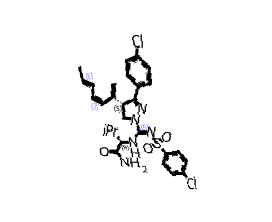 C=C(/C=C\C=C\C)[C@H]1CN(/C(=N/S(=O)(=O)c2ccc(Cl)cc2)N[C@@H](C(N)=O)C(C)C)N=C1c1ccc(Cl)cc1